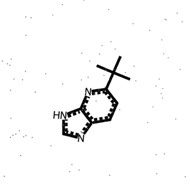 CC(C)(C)c1ccc2nc[nH]c2n1